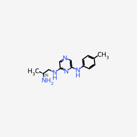 Cc1ccc(Nc2cncc(NC[C@H](C)N)n2)cc1